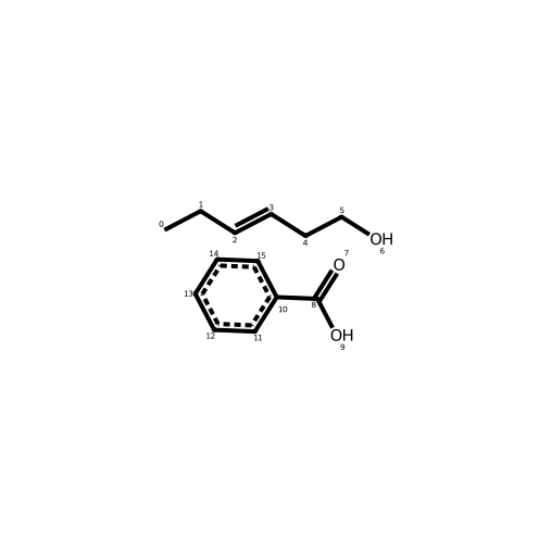 CCC=CCCO.O=C(O)c1ccccc1